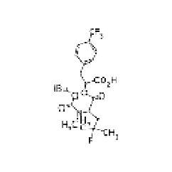 CN(C(=O)OC(C)(C)C)C(CC(C)(C)F)C(=O)OC(Cc1ccc(C(F)(F)F)cc1)C(=O)O